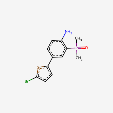 CP(C)(=O)c1cc(-c2ccc(Br)s2)ccc1N